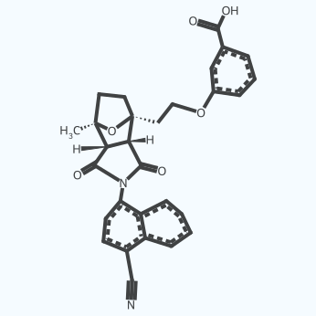 C[C@]12CC[C@](CCOc3cccc(C(=O)O)c3)(O1)[C@@H]1C(=O)N(c3ccc(C#N)c4ccccc34)C(=O)[C@@H]12